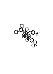 CC(=O)OC1CCN(S(=O)(=O)c2cnc3n2[C@](C)(Cc2ccc(Br)cc2)C(=O)N3c2cc(Cl)cc(Cl)c2)CC1